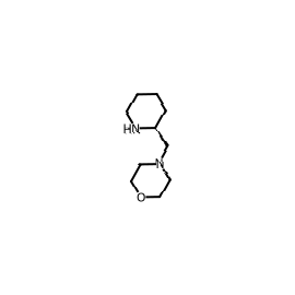 C1CC[C@@H](CN2CCOCC2)NC1